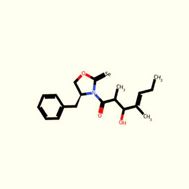 CCC=C(C)C(O)C(C)C(=O)N1C(=[Se])OC[C@@H]1Cc1ccccc1